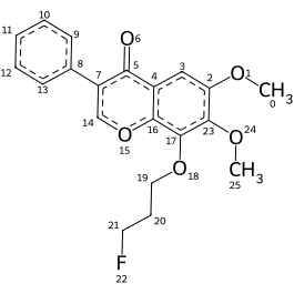 COc1cc2c(=O)c(-c3ccccc3)coc2c(OCCCF)c1OC